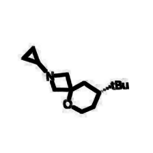 CC(C)(C)[C@@H]1CCOC2(C1)CN(C1CC1)C2